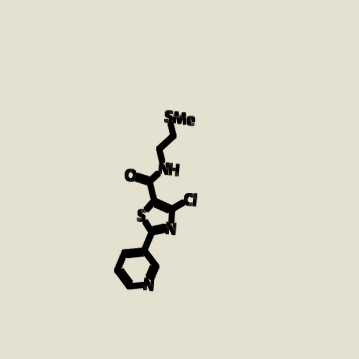 CSCCNC(=O)c1sc(-c2cccnc2)nc1Cl